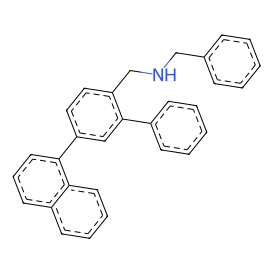 c1ccc(CNCc2ccc(-c3cccc4ccccc34)cc2-c2ccccc2)cc1